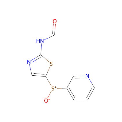 O=CNc1ncc([S+]([O-])c2cccnc2)s1